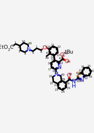 CCOC(=O)CC1CCN(CCCOc2cccc(-c3ccc(N4CCc5cccc(C(=O)Nc6nc7ccccc7s6)c5C4)nc3C(=O)OC(C)(C)C)c2C)CC1